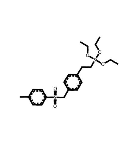 CCO[Si](CCc1ccc(CS(=O)(=O)c2ccc(C)cc2)cc1)(OCC)OCC